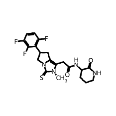 Cn1c(CC(=O)NC2CCCNC2=O)c2n(c1=S)CC(c1c(F)ccc(F)c1F)C2